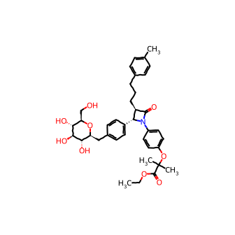 CCOC(=O)C(C)(C)Oc1ccc(N2C(=O)[C@H](CCCc3ccc(C)cc3)[C@H]2c2ccc(C[C@@H]3O[C@H](CO)[C@@H](O)[C@H](O)[C@H]3O)cc2)cc1